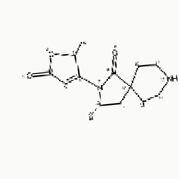 CC1OC(=O)C=C1N1C(=O)C2(CCNCC2)C[C@@H]1C